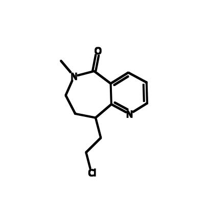 CN1CCC(CCCl)c2ncccc2C1=O